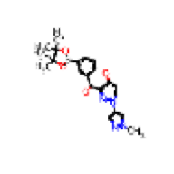 Cn1cc(-n2ccc(=O)c(C(=O)c3cccc(B4OC(C)(C)C(C)(C)O4)c3)n2)cn1